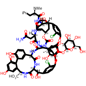 CN[C@H](CC(C)C)C(=O)N[C@H]1C(=O)N[C@@H](CC(N)=O)C(=O)NC2C(=O)N[C@H]3C(=O)N[C@H](C(=O)N[C@H](C(=O)O)c4cc(O)cc(O)c4-c4cc3ccc4O)C(O)c3ccc(c(Cl)c3)Oc3cc2cc(c3O[C@@H]2O[C@H](CO)[C@@H](O)[C@H](O)[C@H]2OC2C[C@](C)(NC(=O)O[C@@H]3/C=C/CCCCC3)[C@H](O)[C@H](C)O2)Oc2ccc(cc2Cl)[C@H]1O